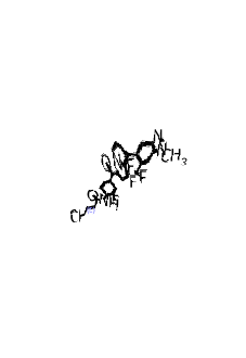 Cn1cnc2cc(-c3cccn4c(C(=O)c5ccc(NC(=O)/C=C/CCl)c(F)c5)ccc34)c(C(F)(F)F)cc21